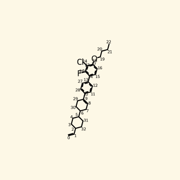 C=CC1CCC(C2CC=C(c3ccc(-c4ccc(OCCCC)c(Cl)c4F)cc3)CC2)CC1